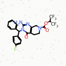 Nc1nc2c(c(=O)n1C(c1ccccc1)c1ccc(F)cc1)CCN(C(=O)OC(C(F)(F)F)C(F)(F)F)C2